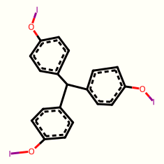 IOc1ccc(C(c2ccc(OI)cc2)c2ccc(OI)cc2)cc1